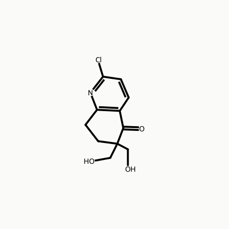 O=C1c2ccc(Cl)nc2CCC1(CO)CO